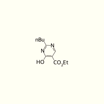 CCCCc1ncc(C(=O)OCC)c(O)n1